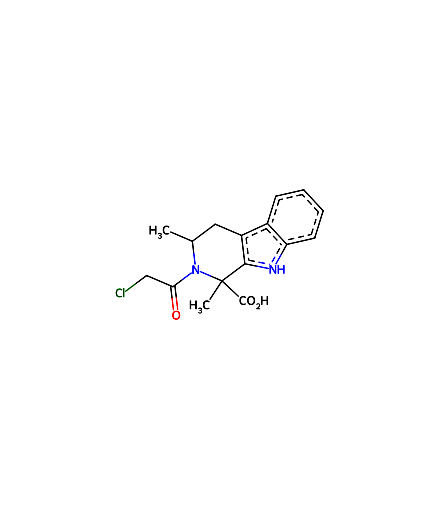 CC1Cc2c([nH]c3ccccc23)C(C)(C(=O)O)N1C(=O)CCl